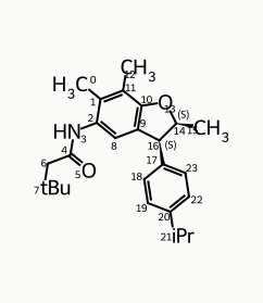 Cc1c(NC(=O)CC(C)(C)C)cc2c(c1C)O[C@@H](C)[C@H]2c1ccc(C(C)C)cc1